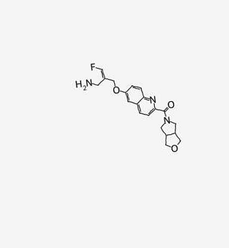 NC/C(=C\F)COc1ccc2nc(C(=O)N3CC4COCC4C3)ccc2c1